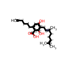 C#CCCCCc1cc(O)c(C/C=C(\C)CCC=C(C)C)c(O)c1C(=O)O